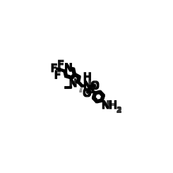 CCn1c([C@@H](C)NS(=O)(=O)c2ccc(N)cc2)cc2cnc(C(F)(F)F)cc21